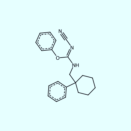 N#C/N=C(/NCC1(c2ccccc2)CCCCC1)Oc1ccccc1